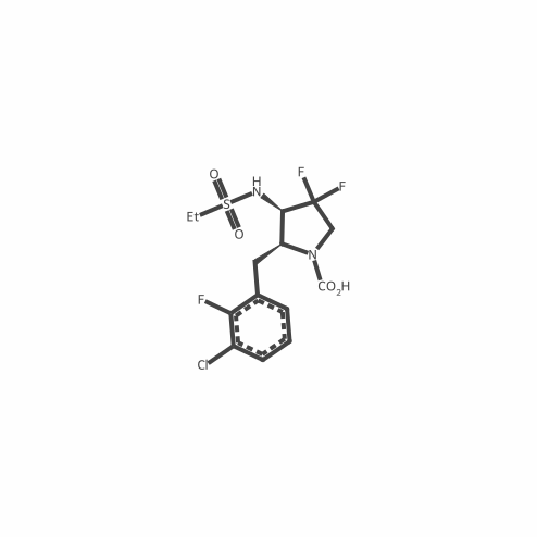 CCS(=O)(=O)N[C@@H]1[C@H](Cc2cccc(Cl)c2F)N(C(=O)O)CC1(F)F